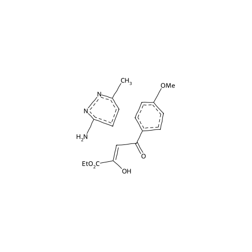 CCOC(=O)C(O)=CC(=O)c1ccc(OC)cc1.Cc1ccc(N)nn1